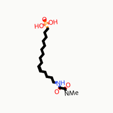 CNC(=O)C(=O)NCCCC/C=C\CCCCCCCCCP(=O)(O)O